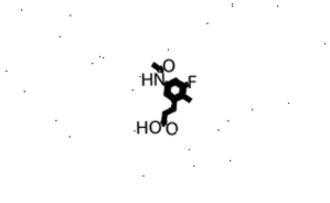 CC(=O)Nc1cc(F)c(C)c(CCC(=O)O)c1